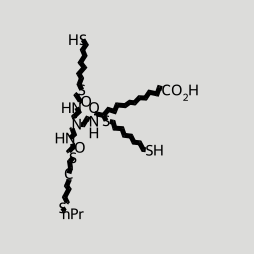 CCCSCCCCCCCCSCC(=O)NCCN(CCNC(=O)CSCCCCCCCCS)CCNC(=O)C(CCCCCCCCCCCC(=O)O)SCCCCCCCCS